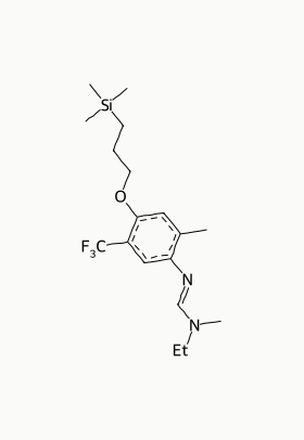 CCN(C)C=Nc1cc(C(F)(F)F)c(OCCC[Si](C)(C)C)cc1C